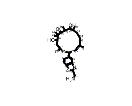 C/C1=C/CC(c2ccc3sc(CN)nc3c2)OC(=O)CC(O)C(C)(C)C(=O)C(C)C(O)C(C)CCC1